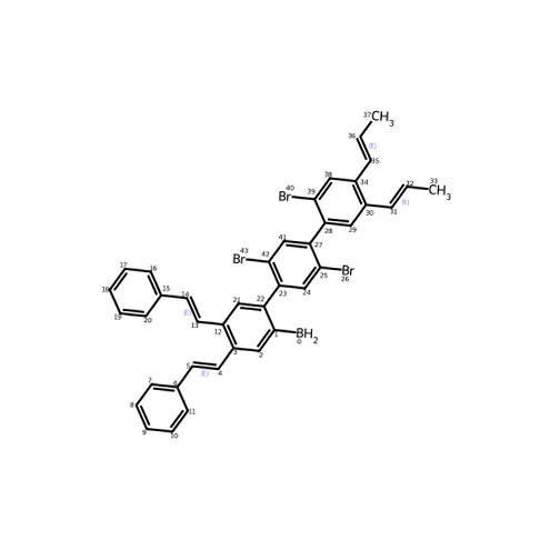 Bc1cc(/C=C/c2ccccc2)c(/C=C/c2ccccc2)cc1-c1cc(Br)c(-c2cc(/C=C/C)c(/C=C/C)cc2Br)cc1Br